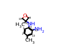 Cc1ccc(NC2(C)COC2)c(N)c1